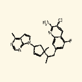 Cc1ncnc2c1ccn2C1C=CC(C)(C(C)Cc2cc(F)c3cc(Cl)c(N)nc3c2)C1